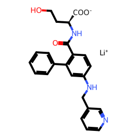 O=C(N[C@@H](CCO)C(=O)[O-])c1ccc(NCc2cccnc2)cc1-c1ccccc1.[Li+]